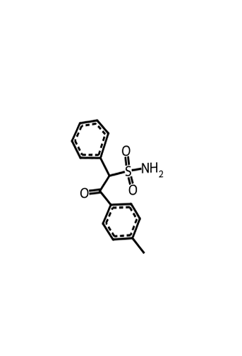 Cc1ccc(C(=O)C(c2ccccc2)S(N)(=O)=O)cc1